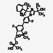 CC(C)(O)c1cn(-c2ccc(-c3cc(F)c(COCOP(C)(=O)O)c(S(C)(=O)=O)c3)cc2F)c(C(C)(C)c2c(Cl)cccc2Cl)n1